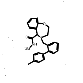 Cc1ccc(-c2ccccc2CN2CCOc3ccccc3C2C(=O)NC(C)(C)C)cc1